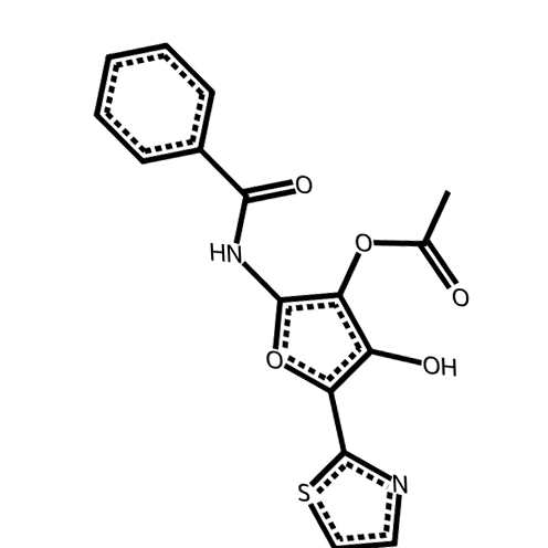 CC(=O)Oc1c(NC(=O)c2ccccc2)oc(-c2nccs2)c1O